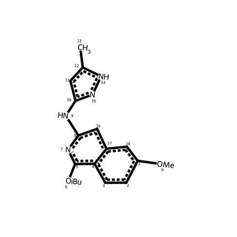 COc1ccc2c(OCC(C)C)nc(Nc3cc(C)[nH]n3)cc2c1